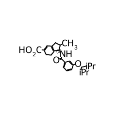 CC(C)C(Oc1cccc(C(=O)N[C@@H]2C3=C(C=C(C(=O)O)CC3)CC2C)c1)C(C)C